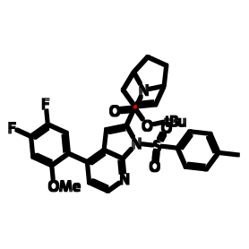 COc1cc(F)c(F)cc1-c1ccnc2c1cc(C1=CC3CCC(C1)N3C(=O)OC(C)(C)C)n2S(=O)(=O)c1ccc(C)cc1